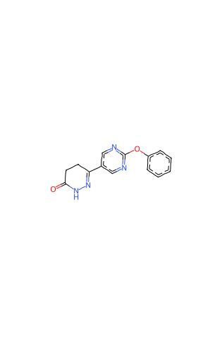 O=C1CCC(c2cnc(Oc3ccccc3)nc2)=NN1